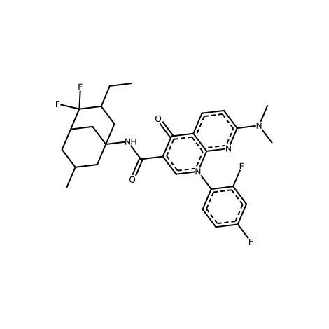 CCC1CC2(NC(=O)c3cn(-c4ccc(F)cc4F)c4nc(N(C)C)ccc4c3=O)CC(C)CC(C2)C1(F)F